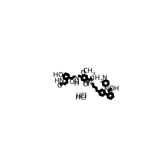 COc1cc(C(=O)NCCCCc2ccc(-c3ccccc3)c(N(C(=O)O)C3CCC(N)CC3)c2)c(Cl)cc1CNC[C@H](O)c1ccc(O)c2[nH]c(=O)ccc12.Cl.Cl